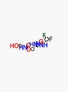 O=C(Cc1cc(F)cc(F)c1)Nc1cc([C@@H]2CC[C@H](OC(=O)NC[C@H]3C[C@@H](O)C3)C2)[nH]n1